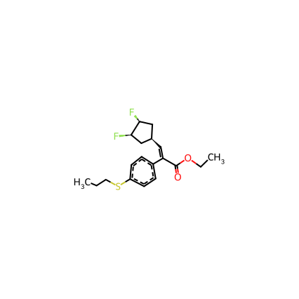 CCCSc1ccc(/C(=C\[C@H]2C[C@@H](F)[C@@H](F)C2)C(=O)OCC)cc1